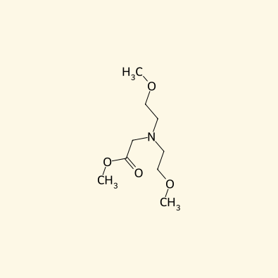 COCCN(CCOC)CC(=O)OC